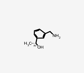 C[C@@H](O)c1cccc(CN)c1